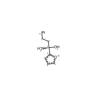 CC(C)CC[C@](N)(O)c1ccco1